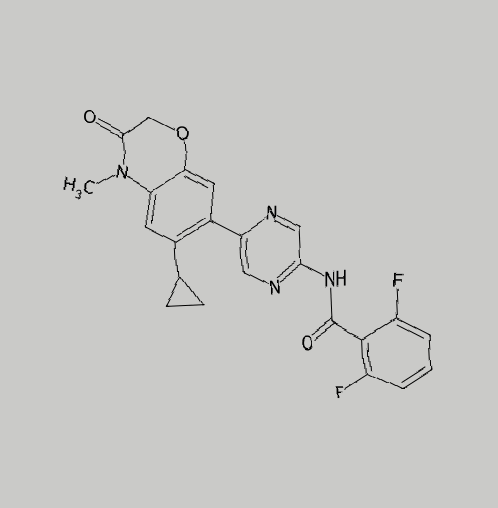 CN1C(=O)COc2cc(-c3cnc(NC(=O)c4c(F)cccc4F)cn3)c(C3CC3)cc21